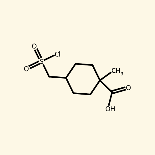 CC1(C(=O)O)CCC(CS(=O)(=O)Cl)CC1